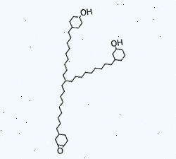 OC1CCC(CCCCCCCCCC(CCCCCCCCCC2CCCC(O)C2)CCCCCCCCCC2CCC3OC3C2)CC1